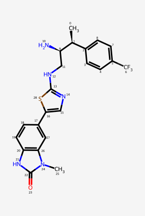 C[C@@H](c1ccc(C(F)(F)F)cc1)[C@H](N)CNc1ncc(-c2ccc3[nH]c(=O)n(C)c3c2)s1